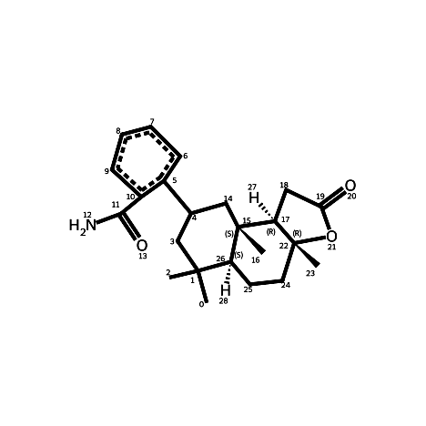 CC1(C)CC(c2ccccc2C(N)=O)C[C@]2(C)[C@H]3CC(=O)O[C@]3(C)CC[C@@H]12